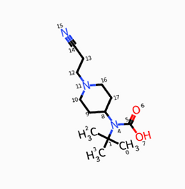 CC(C)(C)N(C(=O)O)C1CCN(CCC#N)CC1